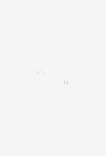 O=C1NC(c2cccc(I)c2)=C2C(=O)NC(c3cccc(I)c3)=C12